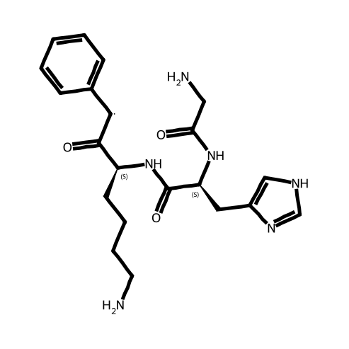 NCCCC[C@H](NC(=O)[C@H](Cc1c[nH]cn1)NC(=O)CN)C(=O)[CH]c1ccccc1